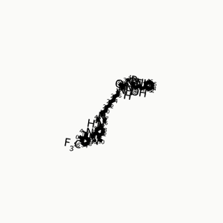 Cc1c([C@@H](C)Nc2nnc(C)c3ccc(N4CCN(CCCCCCCCCNC(=O)[C@H](CC(C)C)NC(=O)[C@@H](O)[C@H](N)Cc5ccccc5)CC4)cc23)cccc1C(F)(F)F